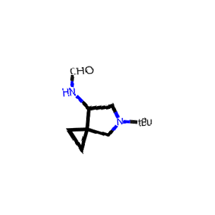 CC(C)(C)N1CC(NC=O)C2(CC2)C1